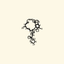 Cc1cc(C)c2c(c1Cl)CC(=N/OCC(=O)N1CCCCC1)/C=C/CC(C)/C=C/CCCOC2=O